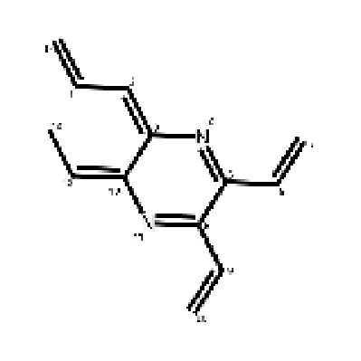 C=C/C=c1/nc(C=C)c(C=C)n/c1=C/C